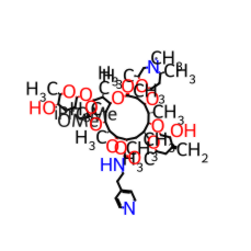 C=C1C[C@@H](C)O[C@@H](O[C@@H]2[C@@H](C)[C@H](O[C@H]3C[C@H](C)N(C)C[C@H](C)O3)[C@@H](C)C(=O)O[C@H]([C@@H](C)CO[C@@H]3O[C@H](C)[C@@H](O)[C@@H](OC)[C@H]3OC)[C@H](C)[C@@H](OC(=O)CC(C)C)[C@@H](C)C(=O)[C@@](C)(OC(=O)NCCc3ccncc3)C[C@@H]2C)[C@@H]1O